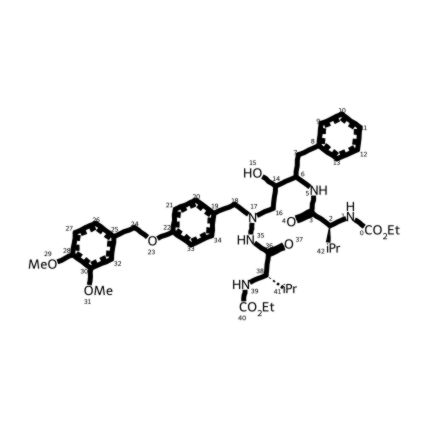 CCOC(=O)N[C@H](C(=O)NC(Cc1ccccc1)C(O)CN(Cc1ccc(OCc2ccc(OC)c(OC)c2)cc1)NC(=O)[C@@H](NC(=O)OCC)C(C)C)C(C)C